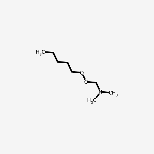 CCCCCOOCN(C)C